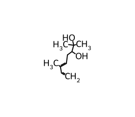 C=CC(C)=CCC(O)C(C)(C)O